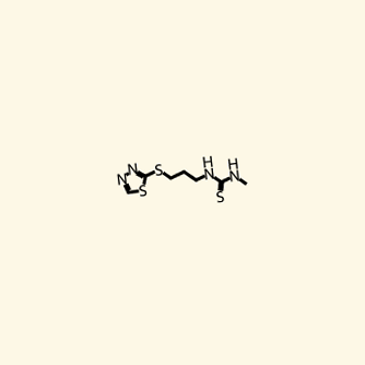 CNC(=S)NCCCSc1nncs1